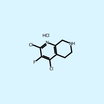 Cl.Fc1c(Cl)nc2c(c1Cl)CCNC2